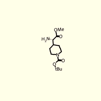 COC(=O)[C@@H](N)C1CCN(C(=O)OC(C)(C)C)CC1